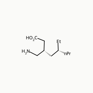 CCC[C@@H](CC)C[C@H](CN)CC(=O)O